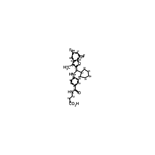 Cc1c(C(Nc2ccc(C(=O)NCCC(=O)O)cc2)C2CCCCC2)oc2c(F)cc(F)cc12